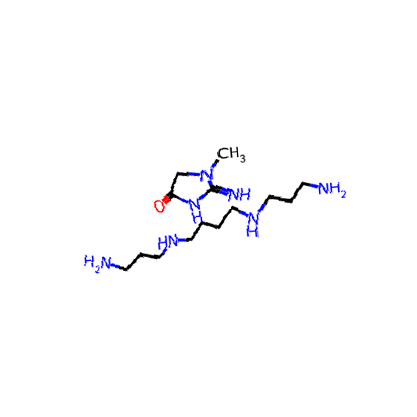 CN1CC(=O)NC1=N.NCCCNCCCCNCCCN